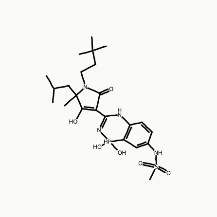 CC(C)CC1(C)C(O)=C(C2=N[PH](O)(O)c3cc(NS(C)(=O)=O)ccc3N2)C(=O)N1CCC(C)(C)C